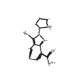 NC(=O)c1cccc2c(Br)n(C3CCCN3)nc12